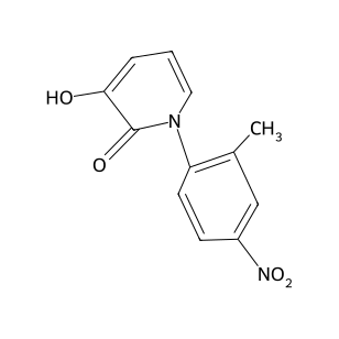 Cc1cc([N+](=O)[O-])ccc1-n1cccc(O)c1=O